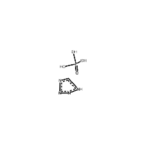 O=P(O)(O)O.c1nnn[nH]1